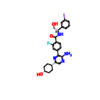 Nc1ncc([C@H]2CC[C@@H](O)CC2)nc1-c1ccc(C(=O)N[C@H](CO)c2cccc(I)c2)c(F)c1